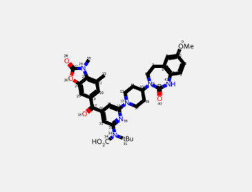 COc1ccc2c(c1)CCN(C1CCN(c3cc(C(=O)c4cc(C)c5c(c4)oc(=O)n5C)cc(N(C(=O)O)C(C)(C)C)n3)CC1)C(=O)N2